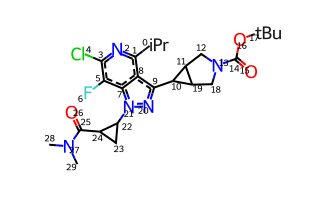 CC(C)c1nc(Cl)c(F)c2c1c(C1C3CN(C(=O)OC(C)(C)C)CC31)nn2C1CC1C(=O)N(C)C